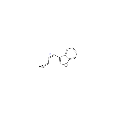 N=C/C=C\c1coc2ccccc12